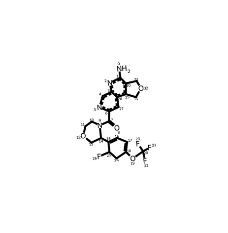 Nc1nc2cnc(C(=O)N3CCOCC3C3=CC=C(OC(F)(F)F)CC3F)cc2c2c1COC2